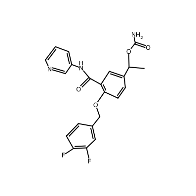 CC(OC(N)=O)c1ccc(OCc2ccc(F)c(F)c2)c(C(=O)Nc2cccnc2)c1